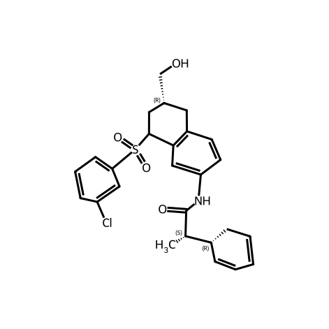 C[C@H](C(=O)Nc1ccc2c(c1)C(S(=O)(=O)c1cccc(Cl)c1)C[C@H](CO)C2)[C@H]1C=CC=CC1